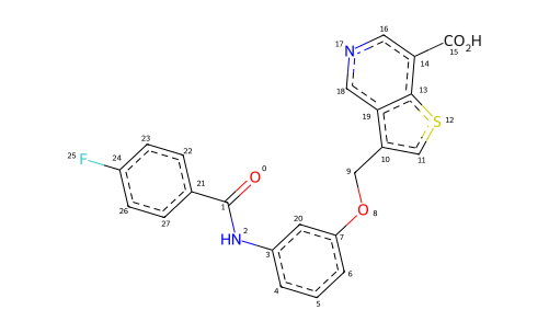 O=C(Nc1cccc(OCc2csc3c(C(=O)O)cncc23)c1)c1ccc(F)cc1